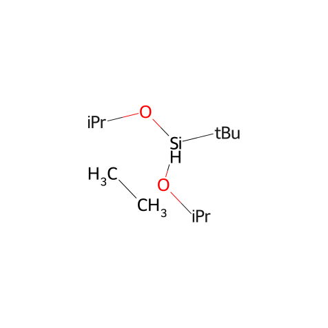 CC.CC(C)O[SiH](OC(C)C)C(C)(C)C